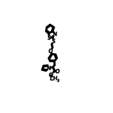 COC(=O)C(Cc1ccc(OCCSc2nc3ccccc3s2)cc1)n1cccc1